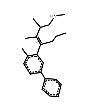 CCC/C(=C(/C)C(C)CNC)c1cc(-c2ccccc2)ccc1C